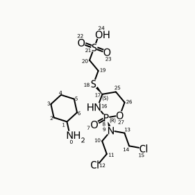 NC1CCCCC1.O=[P@]1(N(CCCl)CCCl)N[C@@H](SCCS(=O)(=O)O)CCO1